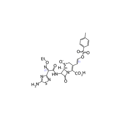 CCO/N=C(\C(=O)NC1C(=O)N2C(C(=O)O)=C(/C=C/OS(=O)(=O)c3ccc(C)cc3)C[S+]([O-])[C@H]12)c1nsc(N)n1